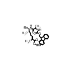 CC[C@H](C)[C@@H](NC(=O)C(C)NC(=O)OCC1c2ccccc2-c2ccccc21)[C@@H](C)CC/C=C(\C)C(=O)OC(C)(C)C